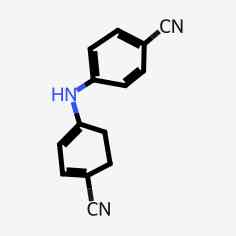 N#CC1=CC=C(Nc2ccc(C#N)cc2)CC1